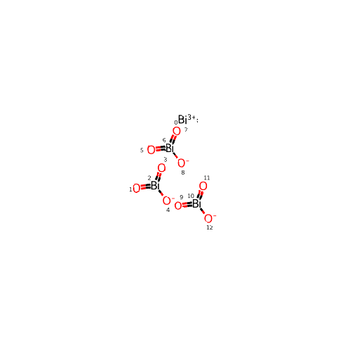 [Bi+3].[O]=[Bi](=[O])[O-].[O]=[Bi](=[O])[O-].[O]=[Bi](=[O])[O-]